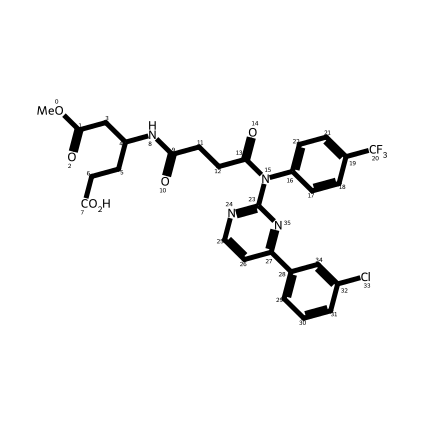 COC(=O)CC(CCC(=O)O)NC(=O)CCC(=O)N(c1ccc(C(F)(F)F)cc1)c1nccc(-c2cccc(Cl)c2)n1